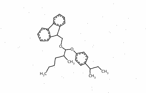 CCCCC(C)C(OCC1c2ccccc2-c2ccccc21)Oc1ccc(C(C)CC)cc1